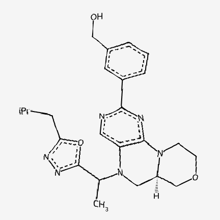 CC(C)Cc1nnc(C(C)N2C[C@@H]3COCCN3c3nc(-c4cccc(CO)c4)ncc32)o1